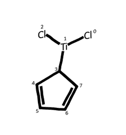 [Cl][Ti]([Cl])[CH]1C=CC=C1